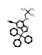 CC(C)(C)CNc1nc(C#N)nc2c1ncn2C(c1ccccc1)(c1ccccc1)c1ccccc1